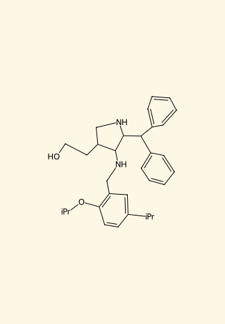 CC(C)Oc1ccc(C(C)C)cc1CNC1C(CCO)CNC1C(c1ccccc1)c1ccccc1